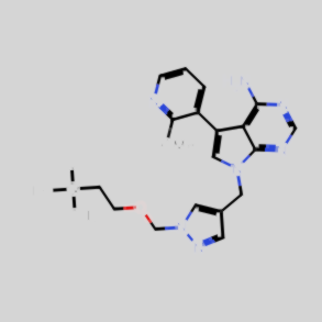 COc1ncccc1-c1cn(Cc2cnn(COCC[Si](C)(C)C)c2)c2ncnc(N)c12